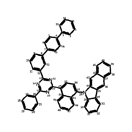 c1ccc(-c2ccc(-c3cccc(-c4nc(-c5ccccc5)nc(-c5ccc(-n6c7ccccc7c7cc8ccccc8cc76)c6ccccc56)n4)c3)cc2)cc1